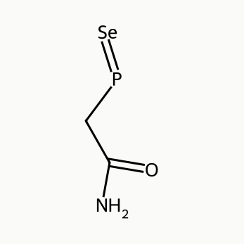 NC(=O)CP=[Se]